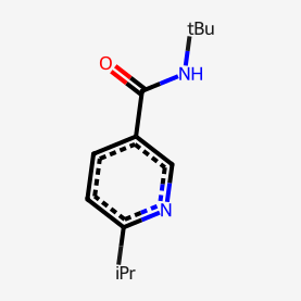 CC(C)c1ccc(C(=O)NC(C)(C)C)cn1